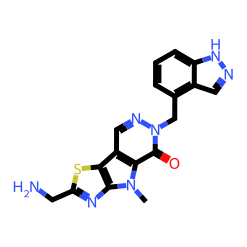 Cn1c2nc(CN)sc2c2cnn(Cc3cccc4[nH]ncc34)c(=O)c21